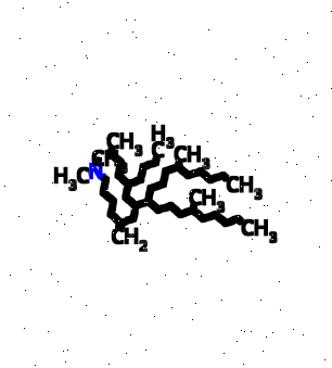 C=C(CCCCN(C)C)CC(CC(CCCC)CCCC)C(CCCC(C)CCCCC)CCCC(C)CCCCC